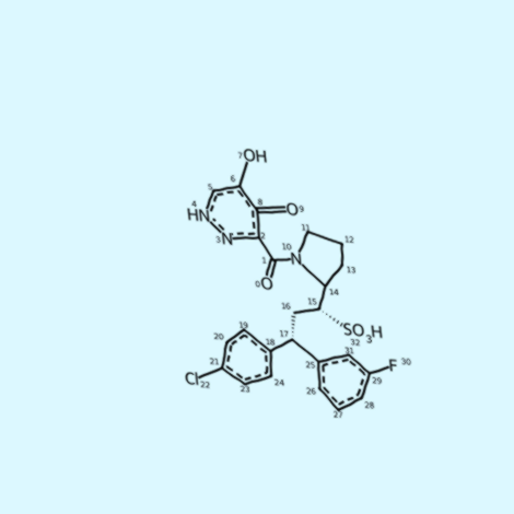 O=C(c1n[nH]cc(O)c1=O)N1CCCC1[C@@H](C[C@@H](c1ccc(Cl)cc1)c1cccc(F)c1)S(=O)(=O)O